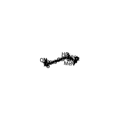 CNCc1cc2ccccc2n1CCC(=O)N[C@@H](CO)C(=O)NCCOCCOCCOCCOCCC(=O)N(C)[C@@H](C)C(=O)N=O